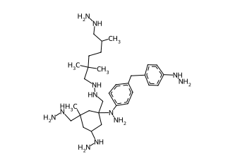 CC(CCC(C)(C)CNNCC1(N(N)c2ccc(Cc3ccc(NN)cc3)cc2)CC(NN)CC(C)(CNN)C1)CNN